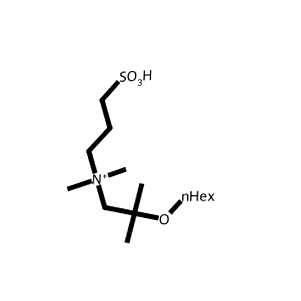 CCCCCCOC(C)(C)C[N+](C)(C)CCCS(=O)(=O)O